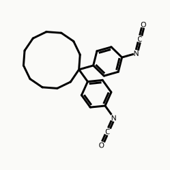 O=C=Nc1ccc(C2(c3ccc(N=C=O)cc3)CCCCCCCCCCC2)cc1